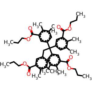 CCCOC(=O)c1cc(CC(c2cc(C)c(C)c(C(=O)OCCC)c2)(c2cc(C)c(C)c(C(=O)OCCC)c2)c2cc(C)c(C)c(C(=O)OCCC)c2)cc(C)c1C